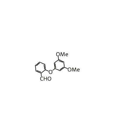 COc1cc(OC)cc(Oc2ccccc2C=O)c1